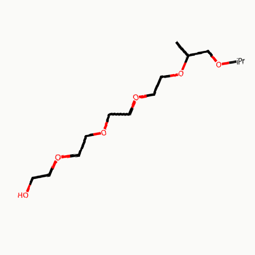 CC(C)OCC(C)OCCOCCOCCOCCO